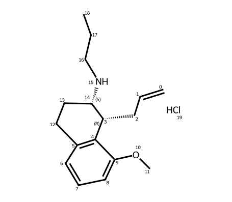 C=CC[C@@H]1c2c(cccc2OC)CC[C@@H]1NCCC.Cl